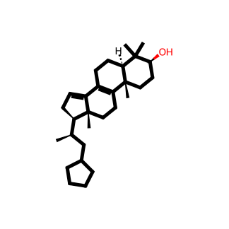 C[C@H](CC1CCCC1)[C@H]1CC=C2C3=C(CC[C@@]21C)[C@@]1(C)CC[C@H](O)C(C)(C)[C@@H]1CC3